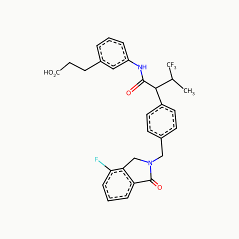 CC(C(C(=O)Nc1cccc(CCC(=O)O)c1)c1ccc(CN2Cc3c(F)cccc3C2=O)cc1)C(F)(F)F